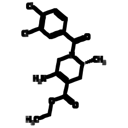 CCOC(=O)C1=C(N)CN(C(=O)c2ccc(Cl)c(Cl)c2)[C@H](C)C1